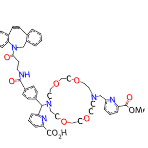 COC(=O)c1cccc(CN2CCOCCOCCN(C(c3ccc(C(=O)NCCC(=O)N4Cc5ccccc5C#Cc5ccccc54)cc3)c3cccc(C(=O)O)n3)CCOCCOCC2)n1